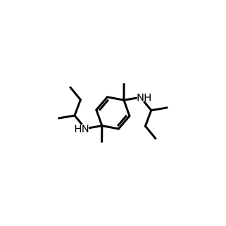 CCC(C)NC1(C)C=CC(C)(NC(C)CC)C=C1